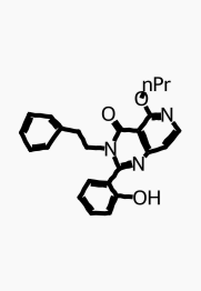 CCCOc1nccc2nc(-c3ccccc3O)n(CCc3ccccc3)c(=O)c12